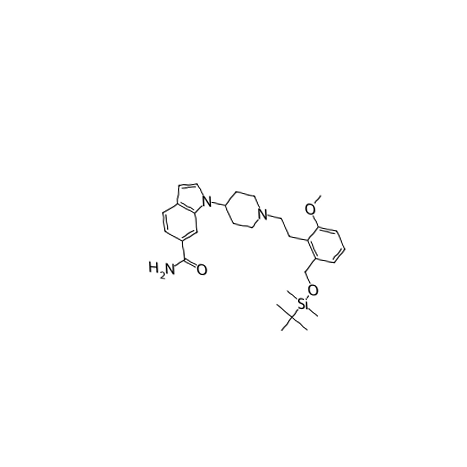 COc1cccc(CO[Si](C)(C)C(C)(C)C)c1CCN1CCC(n2ccc3ccc(C(N)=O)cc32)CC1